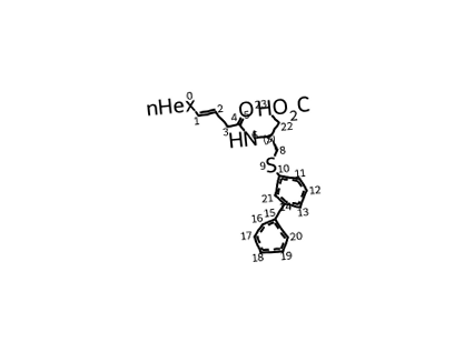 CCCCCCC=CCC(=O)N[C@H](CSc1cccc(-c2ccccc2)c1)CC(=O)O